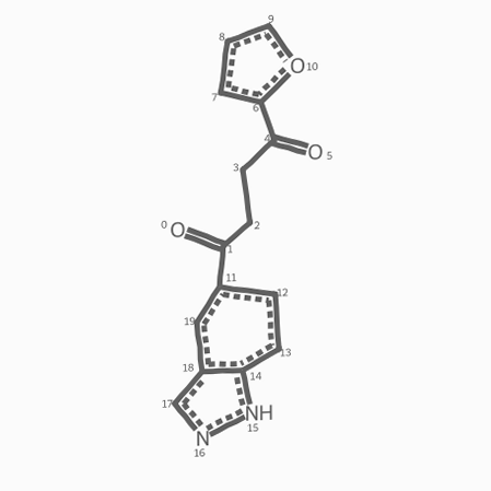 O=C(CCC(=O)c1ccco1)c1ccc2[nH]ncc2c1